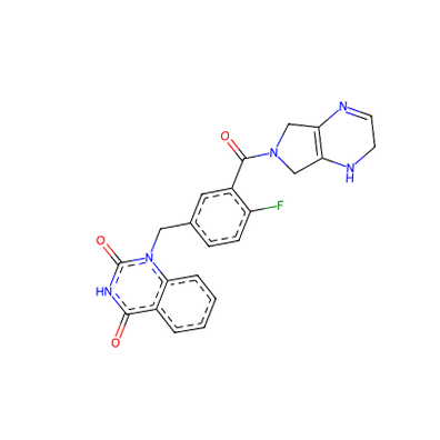 O=C(c1cc(Cn2c(=O)[nH]c(=O)c3ccccc32)ccc1F)N1CC2=C(C1)NCC=N2